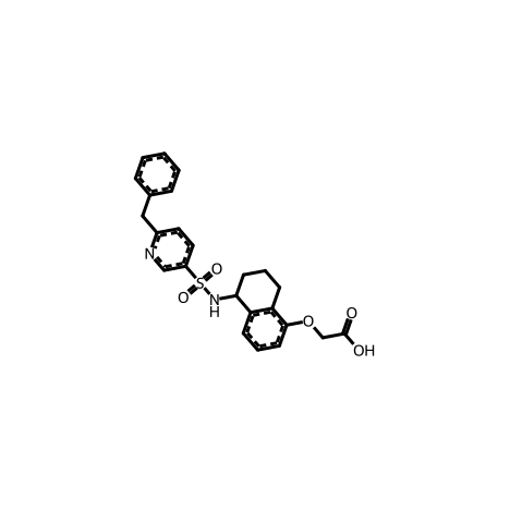 O=C(O)COc1cccc2c1CCCC2NS(=O)(=O)c1ccc(Cc2ccccc2)nc1